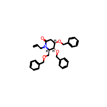 C=CCN1C(=O)C[C@@H](OCc2ccccc2)[C@H](OCc2ccccc2)[C@H]1COCc1ccccc1